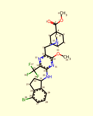 COC(=O)C12CCC(CC1)N(Cc1nc(C(F)(F)F)c(NC3CCc4c(Br)cccc43)nc1OC)C2